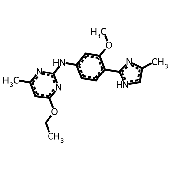 CCOc1cc(C)nc(Nc2ccc(-c3nc(C)c[nH]3)c(OC)c2)n1